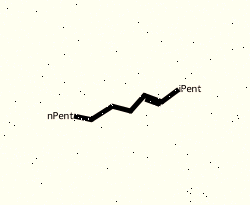 CCCCCCCC/C=C/C(C)CCC